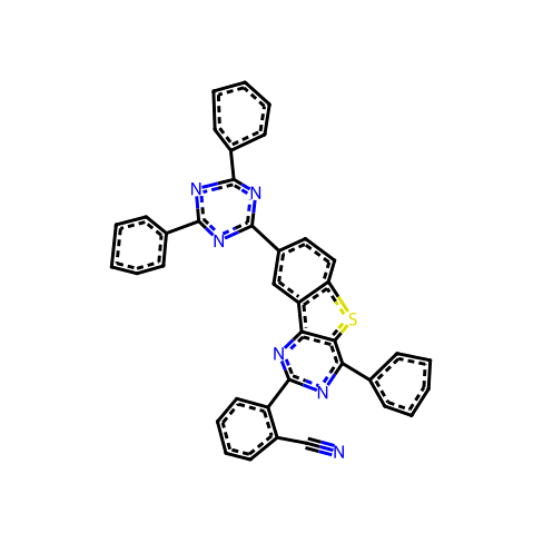 N#Cc1ccccc1-c1nc(-c2ccccc2)c2sc3ccc(-c4nc(-c5ccccc5)nc(-c5ccccc5)n4)cc3c2n1